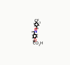 C/C(=N\OCc1ccc(C(F)(F)F)cc1)c1ccc(OCC(=O)O)cc1